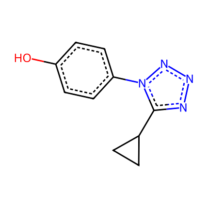 Oc1ccc(-n2nnnc2C2CC2)cc1